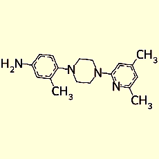 Cc1cc(C)nc(N2CCN(c3ccc(N)cc3C)CC2)c1